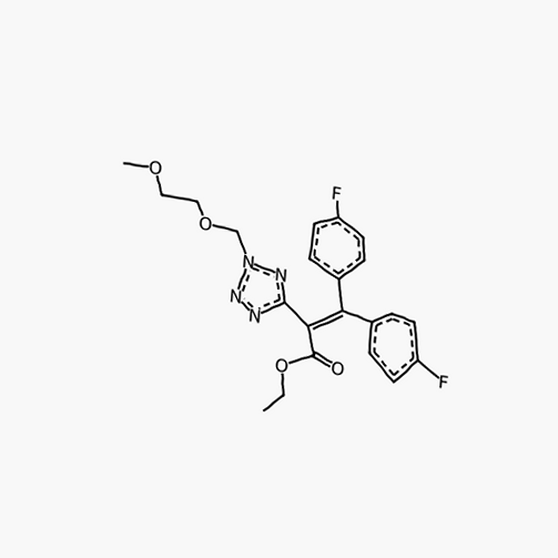 CCOC(=O)C(=C(c1ccc(F)cc1)c1ccc(F)cc1)c1nnn(COCCOC)n1